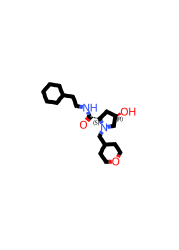 O=C(NCCC1CCCCC1)[C@@H]1C[C@@H](O)CN1CC1CCOCC1